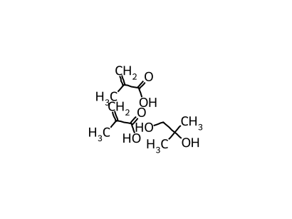 C=C(C)C(=O)O.C=C(C)C(=O)O.CC(C)(O)CO